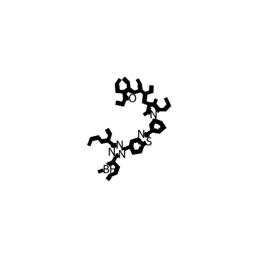 C=C/C=C\C(=C/BC)c1nc(/C(C=C)=C/C=C\C)nc(-c2ccc3sc(-c4cccc(-n5c(C)c(/C=C(C=C)/C(=C/C)c6oc(C=C)c(/C=C\C)c6C=C)c(C)c5/C=C\C)c4)nc3c2)n1